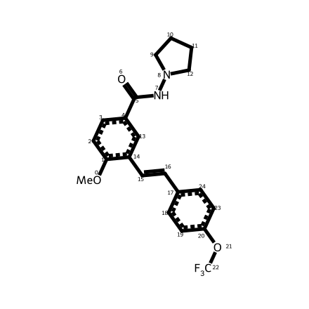 COc1ccc(C(=O)NN2CCCC2)cc1/C=C/c1ccc(OC(F)(F)F)cc1